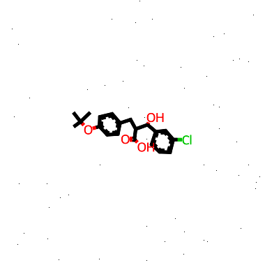 CC(C)(C)Oc1ccc(CC(C(=O)O)C(O)c2cccc(Cl)c2)cc1